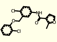 Cc1occc1C(=O)Nc1ccc(Cl)c(COc2ccccc2Cl)c1